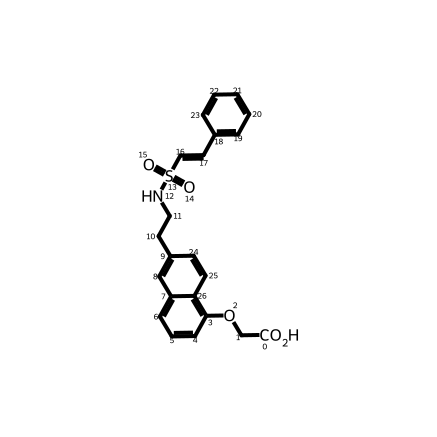 O=C(O)COc1cccc2cc(CCNS(=O)(=O)C=Cc3ccccc3)ccc12